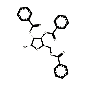 O=C(OC[C@H]1O[C@H](Cl)[C@H](OC(=O)c2ccccc2)[C@H]1OC(=O)c1ccccc1)c1ccccc1